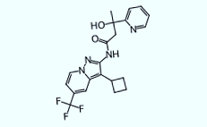 CC(O)(CC(=O)Nc1nn2ccc(C(F)(F)F)cc2c1C1CCC1)c1ccccn1